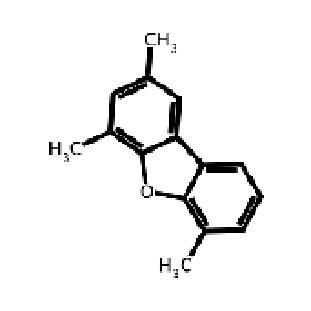 Cc1cc(C)c2oc3c(C)cccc3c2c1